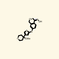 COC1(c2csc(Sc3ccc(/C(C)=N\O)c(CC#N)c3)c2)CCOCC1